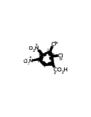 O=C(O)c1cc([N+](=O)[O-])c([N+](=O)[O-])c(Cl)c1Cl